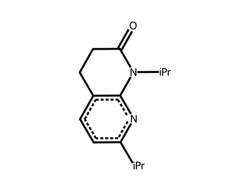 CC(C)c1ccc2c(n1)N(C(C)C)C(=O)CC2